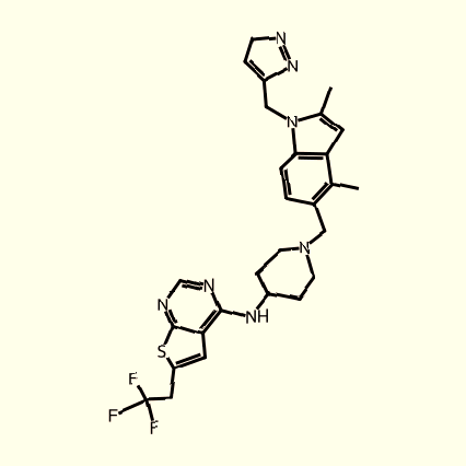 Cc1c(CN2CCC(Nc3ncnc4sc(CC(F)(F)F)cc34)CC2)ccc2c1cc(C)n2CC1=CCN=N1